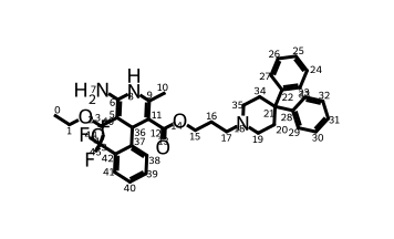 CCOC(=O)C1=C(N)NC(C)=C(C(=O)OCCCN2CCC(c3ccccc3)(c3ccccc3)CC2)C1c1ccccc1C(F)(F)F